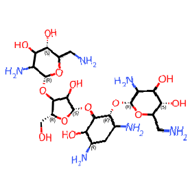 NCC1O[C@H](OC2C(O)[C@H](OC3C(O)[C@H](N)CC(N)[C@H]3O[C@H]3OC(CN)[C@@H](O)C(O)C3N)O[C@@H]2CO)C(N)C(O)[C@@H]1O